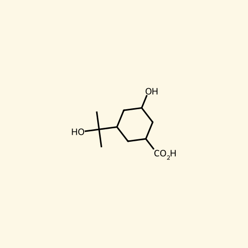 CC(C)(O)C1CC(O)CC(C(=O)O)C1